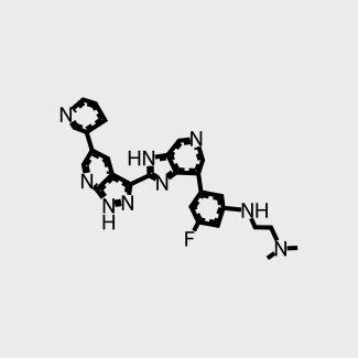 CN(C)CCNc1cc(F)cc(-c2cncc3[nH]c(-c4n[nH]c5ncc(-c6cccnc6)cc45)nc23)c1